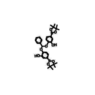 CC1(C)OB(c2ccc(OC(Oc3ccc(B4OC(C)(C)C(C)(C)O4)cc3O)c3ccccc3)c(O)c2)OC1(C)C